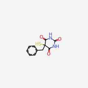 O=C1NC(=O)C(S)(Cc2ccccc2)C(=O)N1